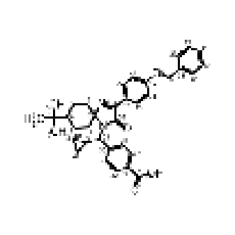 CC(C)(C)C1CCC2(CC1)N=C(c1ccc(OCc3ccccc3)cc1)C(=O)N2[C@@H](c1ccc(C(=O)O)cc1)C1CC1